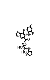 Cc1ccc(Nc2c(C(=O)N3CC(O)([C@H](C)NC4CCCC4(C)O)C3)cn3ccnc3c2F)c(F)c1